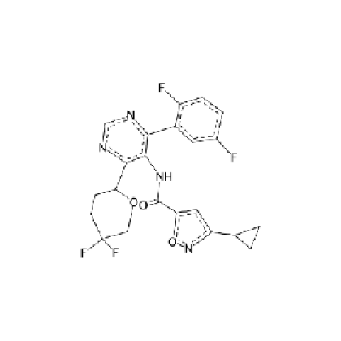 O=C(Nc1c(-c2cc(F)ccc2F)ncnc1C1CCC(F)(F)CO1)c1cc(C2CC2)no1